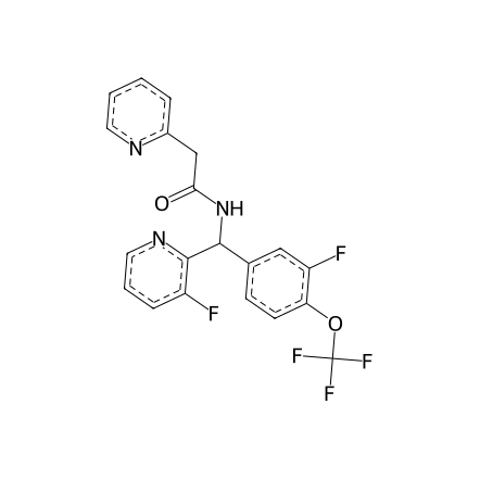 O=C(Cc1ccccn1)NC(c1ccc(OC(F)(F)F)c(F)c1)c1ncccc1F